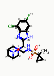 CC1(S(=O)(=O)NCCN2C3CC2CN(Cc2nc4c(Cl)cc(F)cc4[nH]2)C3)CC1